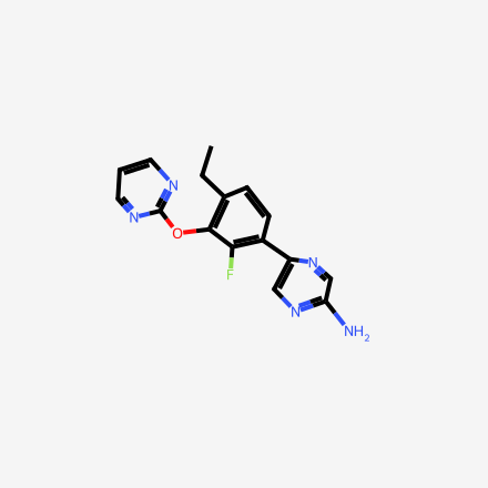 CCc1ccc(-c2cnc(N)cn2)c(F)c1Oc1ncccn1